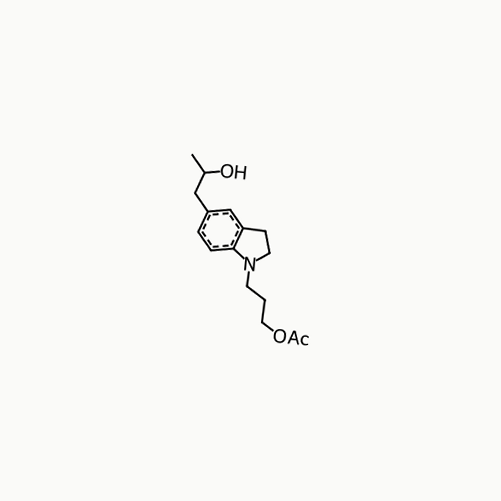 CC(=O)OCCCN1CCc2cc(CC(C)O)ccc21